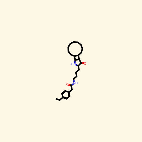 CCc1ccc(CC(=O)NCCCCC2NC3C4CCCCCCCCCC4C3C2=O)cc1